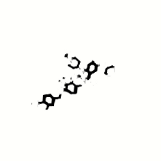 COC1(OC)CC(Cn2c(=O)c3cc(OC(CF)CF)c(F)cc3n(C3CCN(C=O)CC3)c2=O)=CC=C1OCc1ccc(Cl)c(Cl)c1